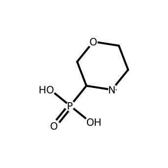 O=P(O)(O)C1COCC[N]1